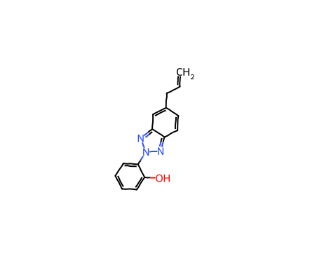 C=CCc1ccc2nn(-c3ccccc3O)nc2c1